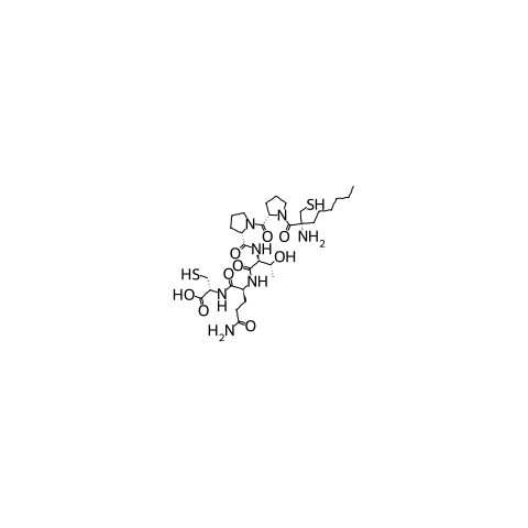 CCCCCC[C@](N)(CS)C(=O)N1CCC[C@H]1C(=O)N1CCC[C@H]1C(=O)N[C@H](C(=O)N[C@@H](CCC(N)=O)C(=O)N[C@@H](CS)C(=O)O)[C@@H](C)O